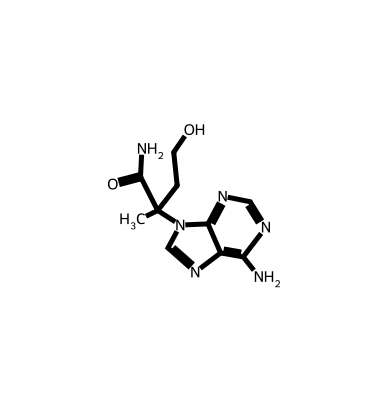 CC(CCO)(C(N)=O)n1cnc2c(N)ncnc21